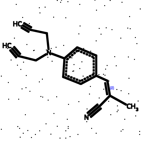 C#CCN(CC#C)c1ccc(/C=C(/C)C#N)cc1